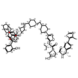 Cc1ncsc1-c1ccc([C@H](C)NC(=O)[C@@H]2C[C@@H](O)CN2C(=O)[C@@H](c2cc(N3CCC(CN4CCC(NC5CC(Oc6cc(N7C8CCC7CN(c7cc(-c9ccccc9O)nnc7N)C8)ccn6)C5)CC4)CC3)no2)C(C)C)cc1